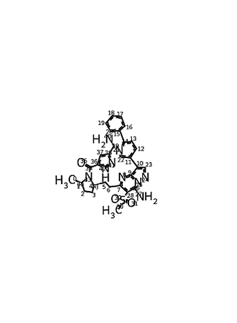 C[C@@H]1CC[C@H](CCc2nc3c(-c4ccc(-c5ccccc5)nc4)cnn3c(N)c2S(C)(=O)=O)N1C(=O)c1cc(CN)n[nH]1